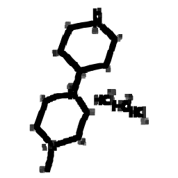 CN1CCN(C2CCNCC2)CC1.Cl.Cl.Cl